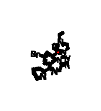 CCN1CCN(c2nnc3n2-c2c(cc(Br)cc2[N+](=O)[O-])C(c2ccccn2)=NC3)CC1